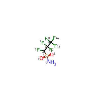 NS(=O)(=O)C(F)C(F)(F)C(F)(F)F